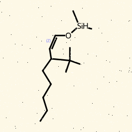 CCCCCC(/C=[C]\O[SiH](C)C)C(C)(C)C